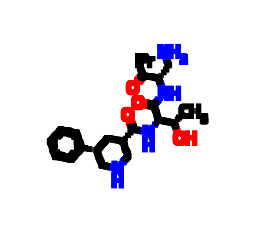 CC(C)C(=O)[C@H](CN)NC(=O)[C@@H](NC(=O)[C@@H]1CNC[C@H](c2ccccc2)C1)[C@H](C)O